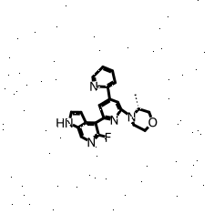 C[C@@H]1COCCN1c1cc(-c2ccccn2)cc(-c2c(F)ncc3[nH]ccc23)n1